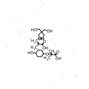 C=C(C)C(=O)O.C=C(C)C(=O)O.OC1CCC(O)CC1.OCC(CO)(CO)CO